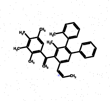 C=C(c1cc(C)c(P)c(C)c1C)c1c(/C=C\C)cc(-c2ccccc2)c(-c2ccccc2C)c1C